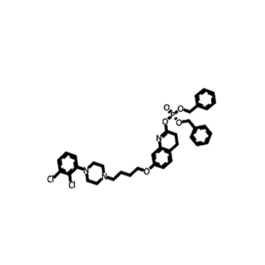 O=P(OCc1ccccc1)(OCc1ccccc1)OC1=Nc2cc(OCCCCN3CCN(c4cccc(Cl)c4Cl)CC3)ccc2CC1